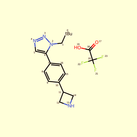 CC(C)(C)Cn1nncc1-c1ccc(C2CNC2)cc1.O=C(O)C(F)(F)F